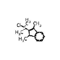 CC1=C(S(C)(C)Cl)C(C)c2ccccc21